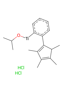 CC1=C(C)C(C)C(c2cccc[c]2[Ti][O]C(C)C)=C1C.Cl.Cl